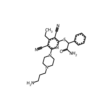 CCc1c(C#N)c(SC(C(N)=O)c2ccccc2)nc(N2CCN(CCCN)CC2)c1C#N